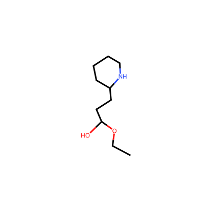 CCOC(O)CCC1CCCCN1